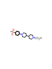 CS(=O)(=O)c1ccc(N2CCC(C3CCN(C(=O)O)CC3)CC2)cc1